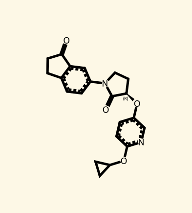 O=C1CCc2ccc(N3CC[C@@H](Oc4ccc(OC5CC5)nc4)C3=O)cc21